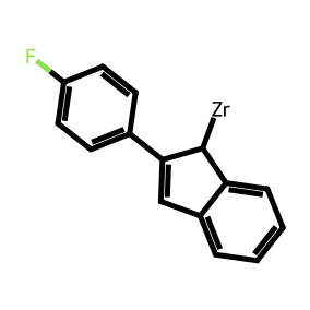 Fc1ccc(C2=Cc3ccccc3[CH]2[Zr])cc1